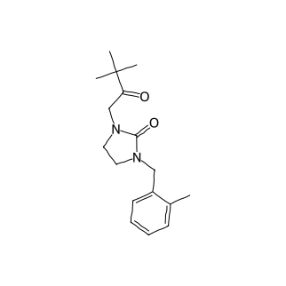 Cc1ccccc1CN1CCN(CC(=O)C(C)(C)C)C1=O